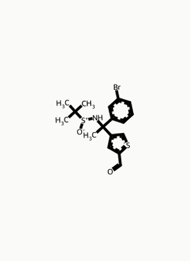 CC(N[S+]([O-])C(C)(C)C)(c1cccc(Br)c1)c1csc(C=O)c1